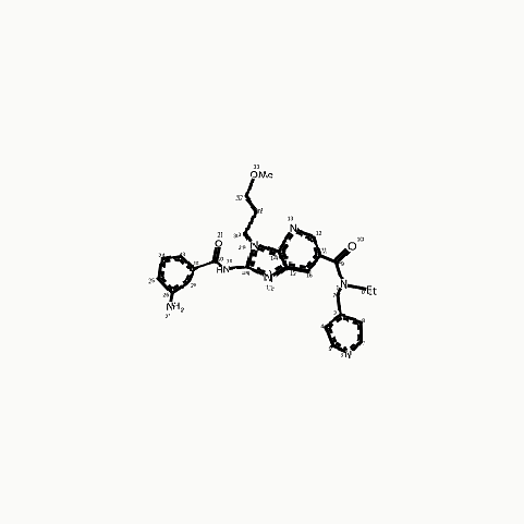 CCN(Cc1ccncc1)C(=O)c1cnc2c(c1)nc(NC(=O)c1cccc(N)c1)n2CCCOC